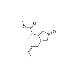 C/C=C\CC1CC(=O)CC1C(C)C(=O)OC